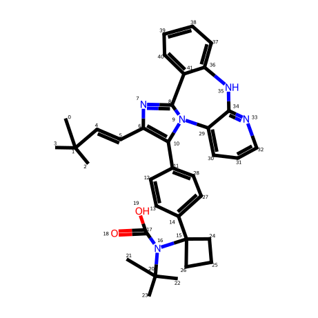 CC(C)(C)/C=C/c1nc2n(c1-c1ccc(C3(N(C(=O)O)C(C)(C)C)CCC3)cc1)-c1cccnc1Nc1ccccc1-2